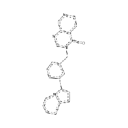 O=c1c2ccncc2ncn1Cc1cccc(-c2ccc3ccccn23)c1